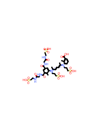 C\C(=C/C=C/C(C)=[N+](\CCCS(=O)(=O)O)c1cc(C(=O)NCC(=O)NCCS(=O)(=O)O)cc(C(=O)NCC(=O)NCCS(=O)(=O)O)c1C)N(CCCS(=O)(=O)O)c1cccc(C(=O)O)c1C